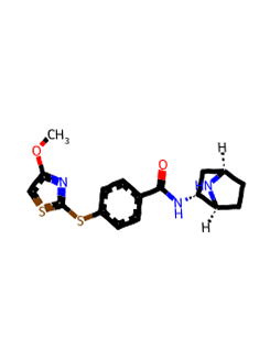 COc1csc(Sc2ccc(C(=O)N[C@@H]3C[C@H]4CC[C@@H]3N4)cc2)n1